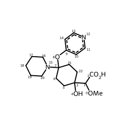 COC(C(=O)O)C1(O)CCC(Oc2ccncc2)(N2CCCCC2)CC1